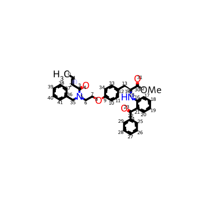 C/C=C/C(=O)N(CCOc1ccc(C[C@H](Nc2ccccc2C(=O)c2ccccc2)C(=O)OC)cc1)Cc1ccccc1